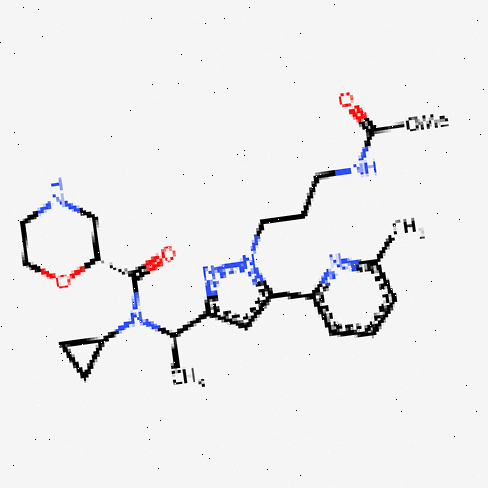 COC(=O)NCCCn1nc([C@@H](C)N(C(=O)[C@H]2CNCCO2)C2CC2)cc1-c1cccc(C)n1